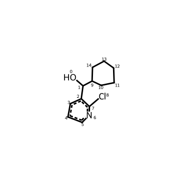 OC(c1cccnc1Cl)C1CCCCC1